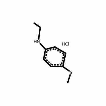 CCNc1ccc(SC)cc1.Cl